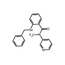 O=C(c1ccccc1[Se]Cc1ccccc1)N(c1cccnc1)C(F)(F)F